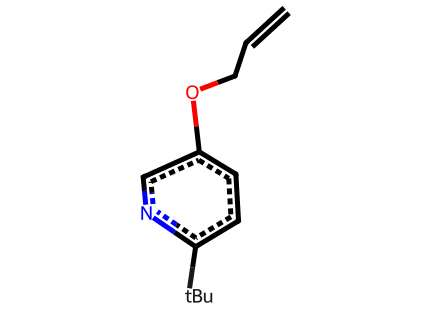 C=CCOc1ccc(C(C)(C)C)nc1